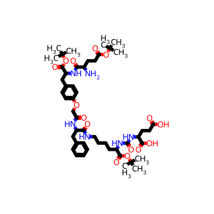 CC(C)(C)OC(=O)CCC(N)C(=O)NC(Cc1ccc(OCC(=O)NC(Cc2ccccc2)C(=O)NCCCCC(NC(=O)NC(CCC(=O)O)C(=O)O)C(=O)OC(C)(C)C)cc1)C(=O)OC(C)(C)C